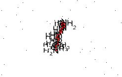 C[C@H](CCC(=O)NCCOC(C)(C)COC(C)(C)CCC(=O)NCCN)NC(=O)c1ccc(NCc2cnc3nc(N)[nH]c(=O)c3n2)cc1